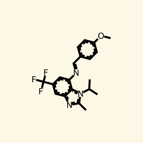 COc1ccc(C=Nc2cc(C(F)(F)F)cc3nc(C)n(C(C)C)c23)cc1